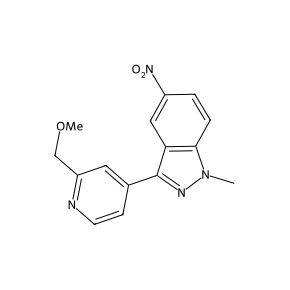 COCc1cc(-c2nn(C)c3ccc([N+](=O)[O-])cc23)ccn1